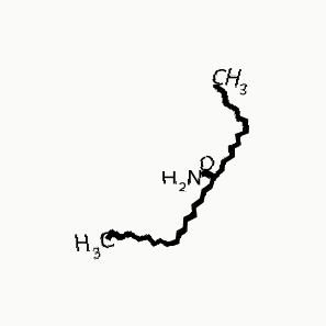 CCCCCC/C=C\CCCCCCC(CCCCCCCC/C=C\CCCCCCCC)C(N)=O